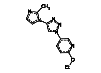 CCOc1ccc(-n2cc(-n3ccnc3C)nn2)cn1